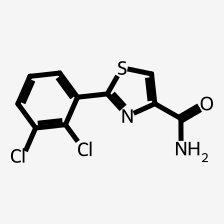 NC(=O)c1csc(-c2cccc(Cl)c2Cl)n1